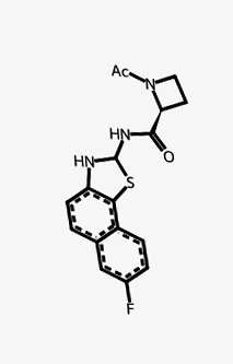 CC(=O)N1CC[C@H]1C(=O)NC1Nc2ccc3cc(F)ccc3c2S1